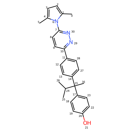 Cc1ccc(C)n1-c1ccc(-c2ccc(C(C)(c3ccc(O)cc3)C(C)C)cc2)nn1